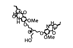 C/C=C1\C[C@H]2C=Nc3cc(OCCCP(=O)(CCCO)CCCOc4cc5c(cc4OC)C(=O)N4C/C(=C/C)C[C@H]4C(=O)N5)c(OC)cc3C(=O)N2C1